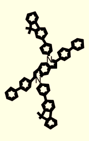 CC1(C)c2ccccc2-c2ccc(-c3ccc(-n4c(-c5ccc(-c6ccccc6)cc5)cc5cc6c(cc(-c7ccc(-c8ccccc8)cc7)n6-c6ccc(-c7ccc8c(c7)C(C)(C)c7ccccc7-8)cc6)cc54)cc3)cc21